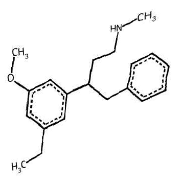 CCc1cc(OC)cc(C(CCNC)Cc2ccccc2)c1